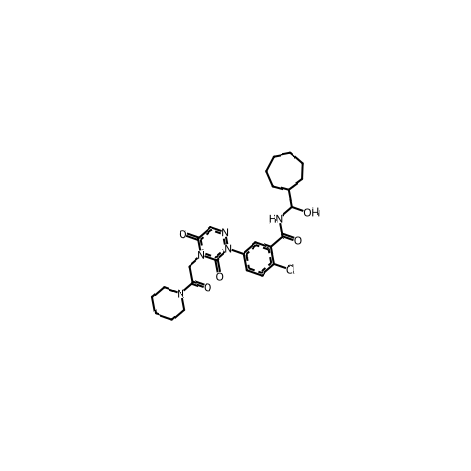 O=C(NC(O)C1CCCCCC1)c1cc(-n2ncc(=O)n(CC(=O)N3CCCCC3)c2=O)ccc1Cl